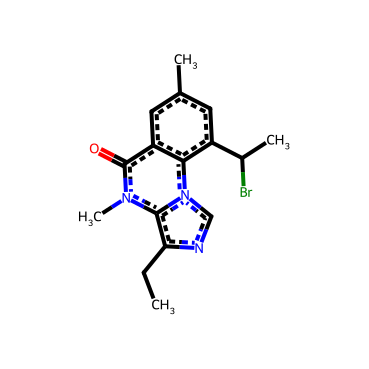 CCc1ncn2c3c(C(C)Br)cc(C)cc3c(=O)n(C)c12